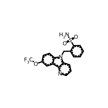 NS(=O)(=O)c1ccccc1Cn1c2ccc(OC(F)(F)F)cc2c2ncccc21